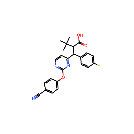 CC(C)(C)C(C(=O)O)C(c1ccc(F)cc1)c1ccnc(Oc2ccc(C#N)cc2)n1